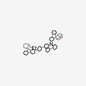 CCC1CC2CCCC(C2)[C@@]12c1ccccc1-c1ccc(-c3ccc(-c4ccc(N(c5ccc6c(c5)C5(c7ccccc7-6)C6CC7CC(C6)CC5C7)c5ccccc5-c5ccccc5)cc4)cc3)cc12